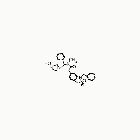 CN(C(=O)Cc1ccc2c(c1)N(Cc1ccccc1)S(=O)(=O)C2)C(CN1CC[C@H](O)C1)c1ccccc1